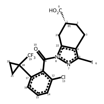 O=C(O)[C@@H]1CCc2c(I)nn(C(=O)c3c(Cl)cccc3C3(C(F)(F)F)CC3)c2C1